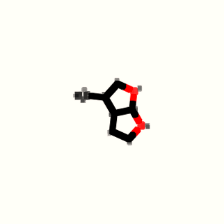 [CH2]C1COC2OCCC12